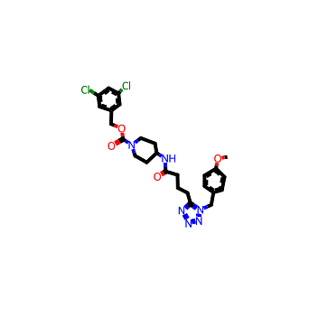 COc1ccc(Cn2nnnc2CCCC(=O)NC2CCN(C(=O)OCc3cc(Cl)cc(Cl)c3)CC2)cc1